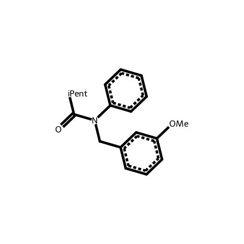 CCCC(C)C(=O)N(Cc1cccc(OC)c1)c1ccccc1